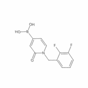 O=c1cc(B(O)O)ccn1Cc1cccc(F)c1F